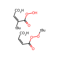 CC(C)(C)/C(=C/C(=O)O)C(=O)OO.CC(C)(C)OOC(=O)/C=C\C(=O)O